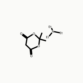 CC1(C)OC(=O)CC(=O)O1.CCN(CC)CC